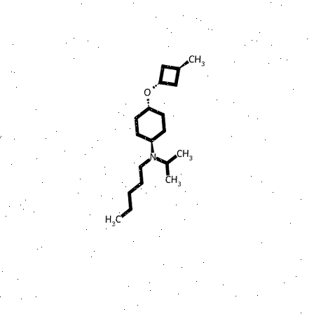 CCCCCN(C(C)C)[C@H]1CC[C@H](O[C@H]2C[C@H](C)C2)CC1